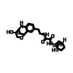 O=C(NCCc1ccc2c(c1)C1CC(N2)[C@H](O)CO1)C(=O)N[C@@H]1C[C@H]2CC[C@@H]1C2